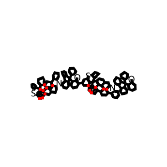 c1ccc(-c2ccc(-c3ccccc3N(c3ccc4c5c(ccc4c3)C3(c4ccccc4Sc4cc(-c6cccc7c6Oc6ccccc6C76c7ccccc7-c7c(N(c8ccc9ccc%10c(c9c8)-c8ccccc8C%108c9ccccc9Sc9ccccc98)c8ccccc8-c8ccc(-c9ccccc9)cc8)cccc76)ccc43)c3ccccc3-5)c3cccc4c3-c3ccccc3C43c4ccccc4Oc4ccccc43)cc2)cc1